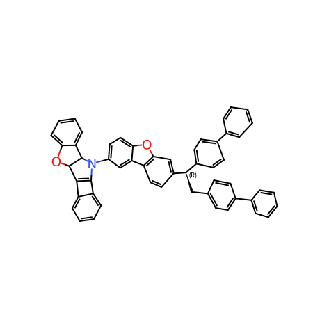 c1ccc(-c2ccc(C[C@H](c3ccc(-c4ccccc4)cc3)c3ccc4c(c3)oc3ccc(N5C6=C(c7ccccc76)C6Oc7ccccc7C65)cc34)cc2)cc1